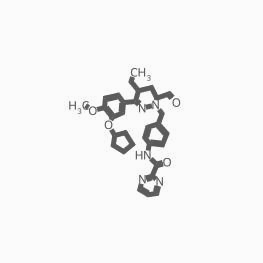 CCC1CC(C=O)N(Cc2ccc(NC(=O)c3ncccn3)cc2)N=C1c1ccc(OC)c(OC2CCCC2)c1